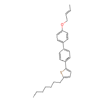 C/C=C/COc1ccc(-c2ccc(-c3ccc(CCCCCCC)s3)cc2)cc1